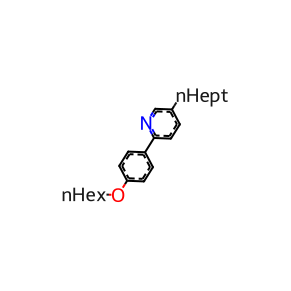 CCCCCCCc1ccc(-c2ccc(OCCCCCC)cc2)nc1